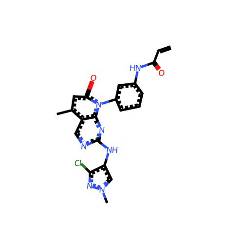 C=CC(=O)Nc1cccc(-n2c(=O)cc(C)c3cnc(Nc4cn(C)nc4Cl)nc32)c1